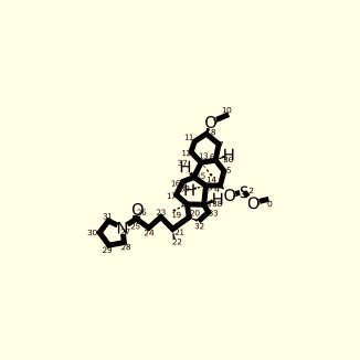 COSO[C@H]1C[C@@H]2C[C@H](OC)CC[C@]2(C)[C@H]2CC[C@]3(C)[C@@H]([C@H](C)CCC(=O)N4CCCC4)CC[C@H]3[C@H]12